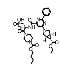 CCCCOC(=O)N1CCN(C(=O)[C@H](CP(=O)(O)O)NC(=O)c2cc(N3C[C@@H]4[C@H](C3)[C@H]4C(=O)OCC)nc(-c3ccccc3)n2)CC1